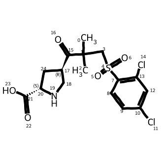 CC(C)(CS(=O)(=O)c1ccc(Cl)cc1Cl)C(=O)[C@H]1CN[C@H](C(=O)O)C1